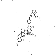 CC1CN(Cc2ccc(-c3cc4c(-c5cccc(-n6ccc7cc(C8CC8)cc(F)c7c6=O)c5CO)nc(N)nc4[nH]3)cc2)CC(C)O1